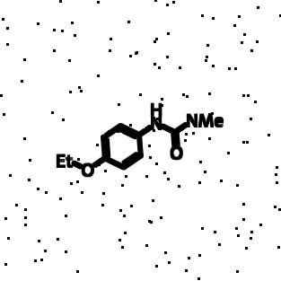 [CH2]NC(=O)Nc1ccc(OCC)cc1